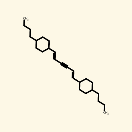 CCCCC1CCC(C=CC#CC=CC2CCC(CCCC)CC2)CC1